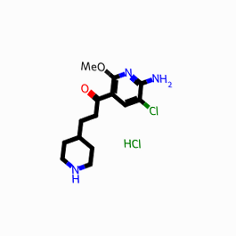 COc1nc(N)c(Cl)cc1C(=O)CCC1CCNCC1.Cl